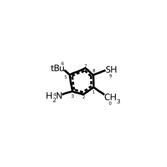 Cc1cc(N)c(C(C)(C)C)cc1S